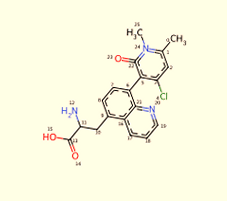 Cc1cc(Cl)c(-c2ccc(CC(N)C(=O)O)c3cccnc23)c(=O)n1C